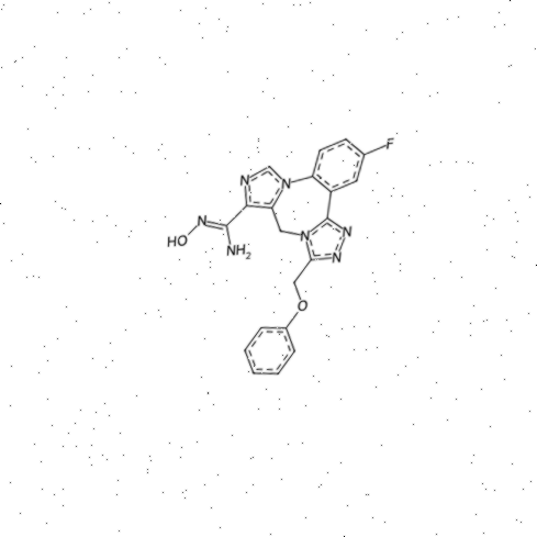 N/C(=N\O)c1ncn2c1Cn1c(COc3ccccc3)nnc1-c1cc(F)ccc1-2